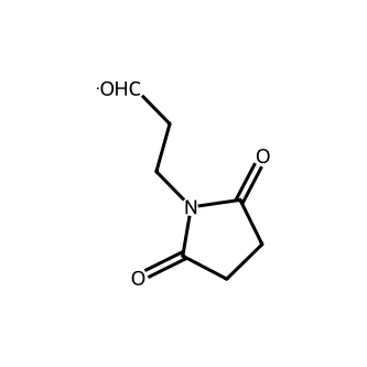 O=[C]CCN1C(=O)CCC1=O